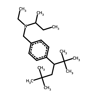 CCC(C)N(CC)Cc1ccc(C(CC(C)(C)C)C(C)(C)C)cc1